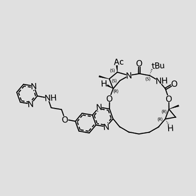 CC(=O)[C@@H]1[C@H](C)[C@@H]2CN1C(=O)[C@H](C(C)(C)C)NC(=O)O[C@]1(C)C[C@H]1CCCCCc1nc3ccc(OCCNc4ncccn4)cc3nc1O2